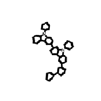 c1ccc(-c2cccc(-c3ccc4c(c3)c3ccc(-c5ccc6c(c5)c5ccccc5n6-c5ccccc5)cc3n4-c3ccccc3)c2)cc1